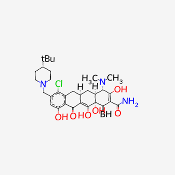 B=C1C(C(N)=O)=C(O)[C@@H](N(C)C)[C@@H]2C[C@@H]3Cc4c(Cl)c(CN5CCC(C(C)(C)C)CC5)cc(O)c4C(=O)C3=C(O)[C@]12O